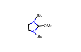 COC1N(C(C)(C)C)CCN1C(C)(C)C